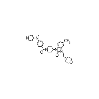 CN(c1ccncc1)c1ccc(C(=O)N2CCC(n3c(=O)n(CCN4CCOCC4)c4cc(C(F)(F)F)ccc43)CC2)cc1